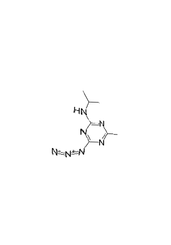 Cc1nc(N=[N+]=[N-])nc(NC(C)C)n1